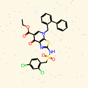 CCOC(=O)c1cn(Cc2ccccc2-c2ccccc2)c2sc(NS(=O)(=O)Cc3ccc(Cl)cc3Cl)nc2c1=O